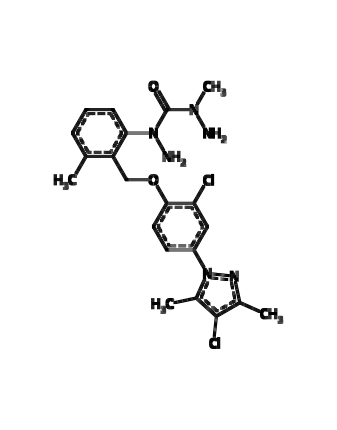 Cc1cccc(N(N)C(=O)N(C)N)c1COc1ccc(-n2nc(C)c(Cl)c2C)cc1Cl